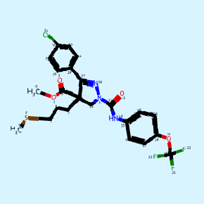 COC(=O)C1(CCCSC)CN(C(=O)Nc2ccc(OC(F)(F)F)cc2)N=C1c1ccc(Cl)cc1